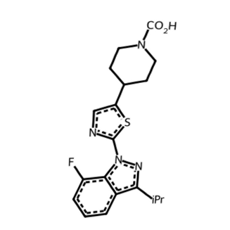 CC(C)c1nn(-c2ncc(C3CCN(C(=O)O)CC3)s2)c2c(F)cccc12